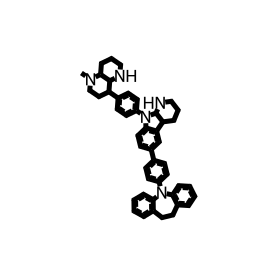 CN1CCC(c2ccc(N3c4ccc(-c5ccc(N6c7ccccc7CCc7ccccc76)cc5)cc4C4CCCNC43)cc2)C2NCCCC21